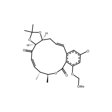 COCOc1cc(Cl)cc2c1C(=O)O[C@@H](C)[C@H](C)/C=C\C(=O)[C@H]1OC(C)(C)O[C@H]1C/C=C/2